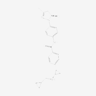 CC1=NN(c2ccc(NC(=O)c3ccc([C@@H]4C[C@H]4NCC4CC4)cc3)cc2)C(=O)C1